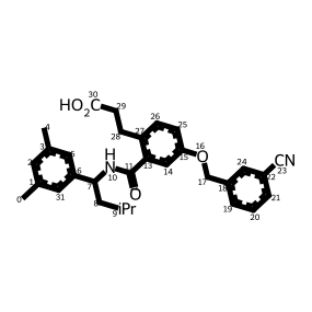 Cc1cc(C)cc(C(CC(C)C)NC(=O)c2cc(OCc3cccc(C#N)c3)ccc2CCC(=O)O)c1